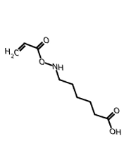 C=CC(=O)ONCCCCCC(=O)O